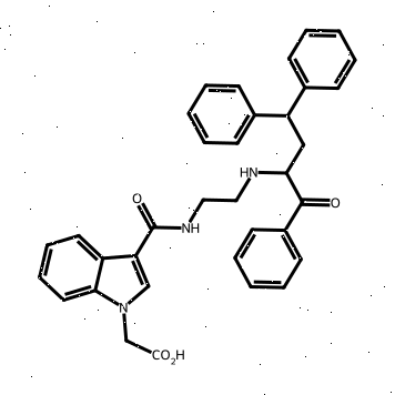 O=C(O)Cn1cc(C(=O)NCCNC(CC(c2ccccc2)c2ccccc2)C(=O)c2ccccc2)c2ccccc21